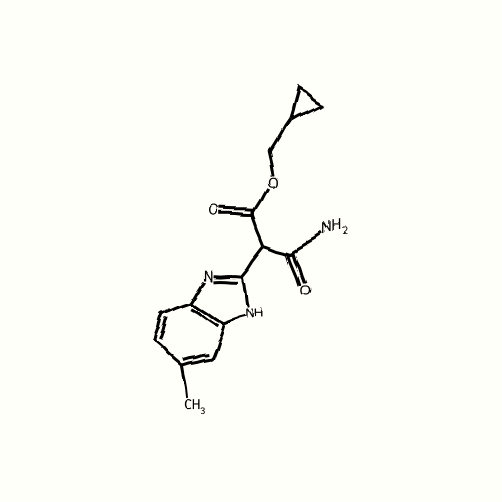 Cc1ccc2nc(C(C(N)=O)C(=O)OCC3CC3)[nH]c2c1